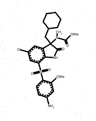 COC(=O)N(C)C1(CC2CCCCC2)C(=O)Nc2c1cc(Cl)cc2S(=O)(=O)c1ccc(N)cc1OC